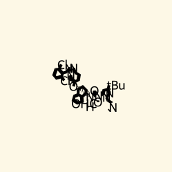 CN(C)CCn1nc(C(C)(C)C)cc1N(OC=O)C(=O)N[C@H]1CC[C@@H](Oc2ccc3nnc(-c4c(Cl)cccc4Cl)n3c2)c2ccccc21